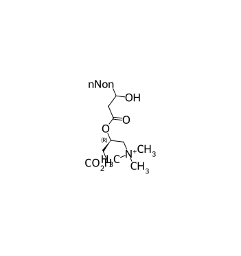 CCCCCCCCCC(O)CC(=O)O[C@H](CC(=O)O)C[N+](C)(C)C